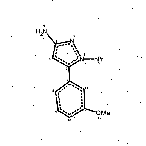 CCCn1nc(N)cc1-c1cccc(OC)c1